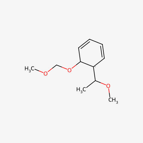 COCOC1C=CC=C[C]1C(C)OC